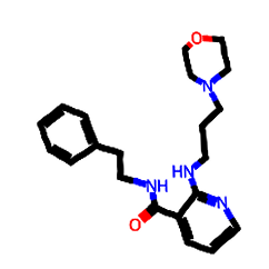 O=C(NCCc1ccccc1)c1cccnc1NCCCN1CCOCC1